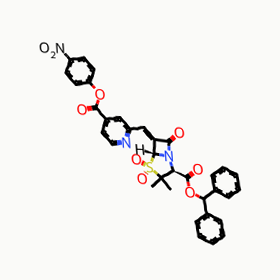 CC1(C)[C@H](C(=O)OC(c2ccccc2)c2ccccc2)N2C(=O)/C(=C/c3cc(C(=O)Oc4ccc([N+](=O)[O-])cc4)ccn3)[C@H]2S1(=O)=O